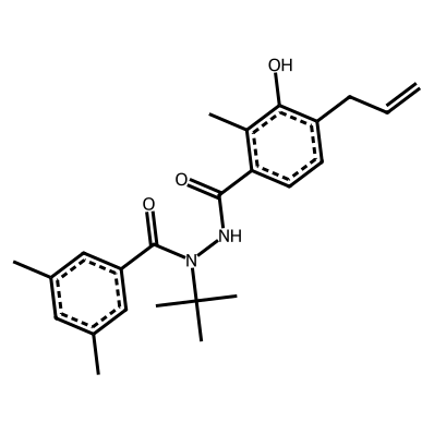 C=CCc1ccc(C(=O)NN(C(=O)c2cc(C)cc(C)c2)C(C)(C)C)c(C)c1O